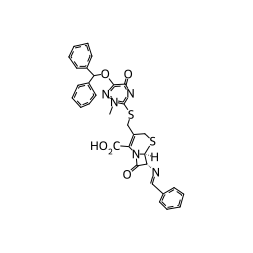 Cn1nc(OC(c2ccccc2)c2ccccc2)c(=O)nc1SCC1=C(C(=O)O)N2C(=O)[C@@H](N=Cc3ccccc3)[C@@H]2SC1